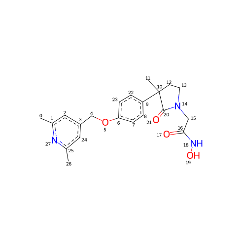 Cc1cc(COc2ccc(C3(C)CCN(CC(=O)NO)C3=O)cc2)cc(C)n1